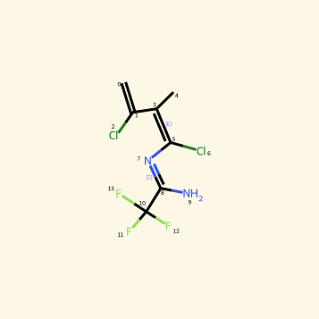 C=C(Cl)/C(C)=C(Cl)\N=C(/N)C(F)(F)F